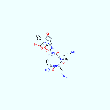 CC(C)C[C@H](NC(=O)[C@H](Cc1ccc(O)cc1)NC(=O)[C@@H]1C/C=C/C[C@H](N)C(=O)N[C@@H](CCCCN)C(=O)N(C)[C@@H](CCCCN)C(=O)N1)C(=O)O